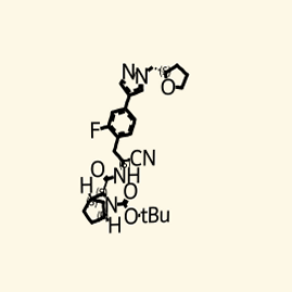 CC(C)(C)OC(=O)N1[C@@H]2CC[C@@H](C2)[C@H]1C(=O)N[C@H](C#N)Cc1ccc(-c2cnn(C[C@@H]3CCCO3)c2)cc1F